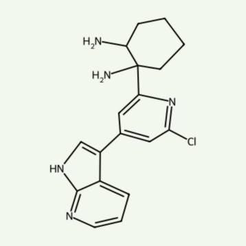 NC1CCCCC1(N)c1cc(-c2c[nH]c3ncccc23)cc(Cl)n1